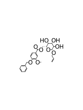 C=CCO[C@@H]1O[C@H](COC(=O)c2ccc(OCc3ccccc3)c(OC)c2)[C@@H](O)[C@H](O)[C@H]1O